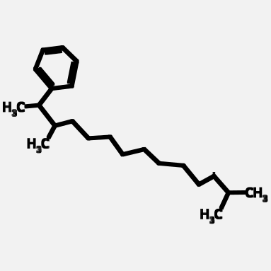 CC(C)[CH]CCCCCCCCC(C)C(C)c1ccccc1